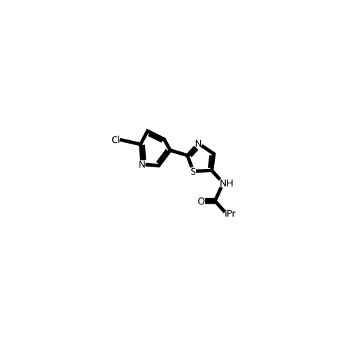 CC(C)C(=O)Nc1cnc(-c2ccc(Cl)nc2)s1